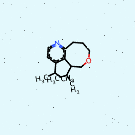 CC(C)c1ccnc2c1C(C(C)C)COCCC2